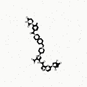 Cc1ccc(C(=O)N2CCC3(CCC(CN4CCC(n5cc(NC(=O)c6cnn7ccc(N8C[C@H]9C[C@@H]8CC9=O)nc67)c(C(F)F)n5)CC4)CC3)CC2)cc1N1CCC(=O)NC1=O